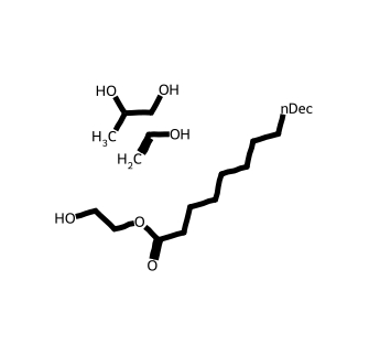 C=CO.CC(O)CO.CCCCCCCCCCCCCCCCCC(=O)OCCO